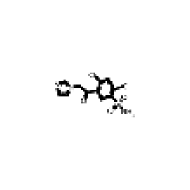 NS(=O)(=O)c1cc(C(=O)Cn2ccnc2)c(Cl)cc1Cl